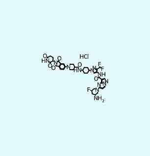 Cl.N[C@@H]1C[C@@H](F)CN(c2ccn3ncc(C(=O)Nc4cn(C5CCC(NC(=O)C6CCN(c7ccc8c(c7)C(=O)N(C7CCC(=O)NC7=O)C8=O)CC6)CC5)nc4C(F)F)c3n2)C1